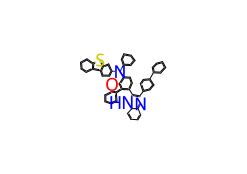 C1=CC2=NC(c3ccc(-c4ccccc4)cc3)=C(c3ccc(N(c4ccccc4)c4ccc5c(c4)sc4ccccc45)c4oc5ccccc5c34)NC2C=C1